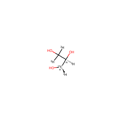 [2H][13C@@H](O)[C@]([2H])(O)C([2H])([2H])O